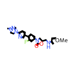 C=C(/C=C\OC)NCC1CN(c2ccc(-c3ccc(N4C=NN(C)CC4)nc3)c(F)c2)C(=O)O1